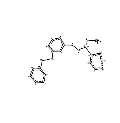 NC[C@@H](OCc1cccc(CCc2ccccc2)c1)c1ccccc1